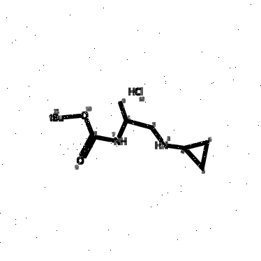 CC(CNC1CC1)NC(=O)OC(C)(C)C.Cl